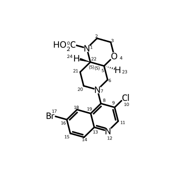 O=C(O)N1CCO[C@H]2CN(c3c(Cl)cnc4ccc(Br)cc34)CC[C@@H]21